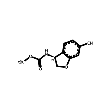 CC(C)(C)OC(=O)N[C@@H]1COc2cc(C#N)ccc21